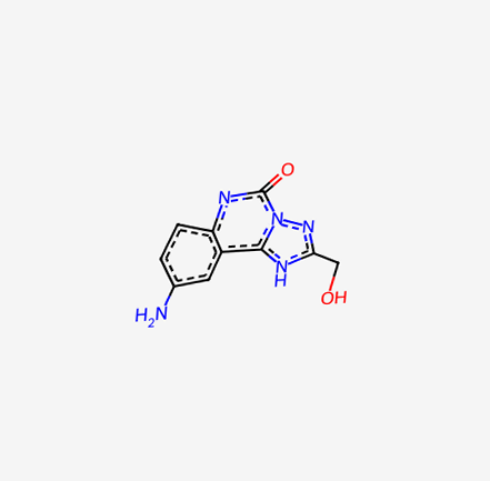 Nc1ccc2nc(=O)n3nc(CO)[nH]c3c2c1